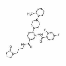 Cc1ccccc1N1CCN(c2ccc(C(=O)NCCCN3CCCC3=O)cc2NC(=O)c2ccc(F)cc2F)CC1